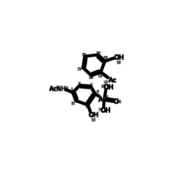 CC(=O)Nc1ccc([As](=O)(O)O)c(O)c1.CC(=O)c1ccccc1O